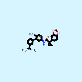 Cc1ccc(NC(=O)C2(c3ccc4c(c3)OCO4)CC2)cc1-c1cccc(C(C)C)c1